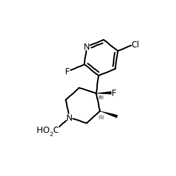 C[C@H]1CN(C(=O)O)CC[C@]1(F)c1cc(Cl)cnc1F